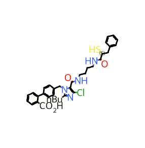 CCCCc1nc(Cl)c(C(=O)NCCCCNC(=O)[C@@H](S)Cc2ccccc2)n1Cc1ccc(-c2ccccc2C(=O)O)cc1